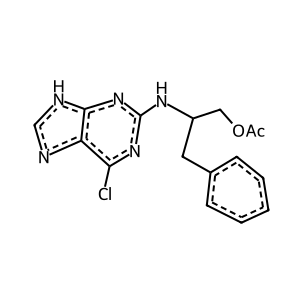 CC(=O)OCC(Cc1ccccc1)Nc1nc(Cl)c2nc[nH]c2n1